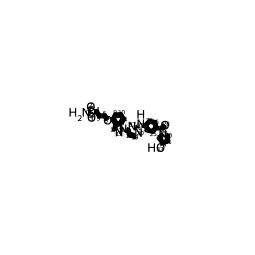 NS(=O)(=O)CCCOc1cccc2c1cnn2-c1ccnc(N[C@H]2CC[C@H](C(=O)N3CC[C@H](O)C3)CC2)n1